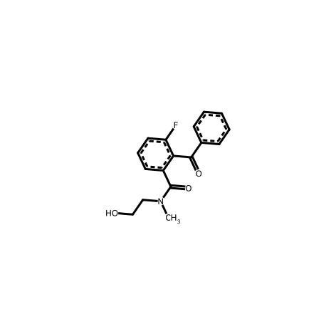 CN(CCO)C(=O)c1cccc(F)c1C(=O)c1ccccc1